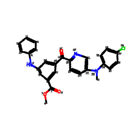 COC(=O)c1cc(Nc2ccccc2)cc(C(=O)c2ccc(N(C)c3ccc(Cl)cc3)cn2)c1